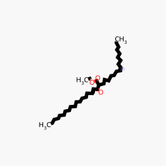 CCCCCCCC/C=C\CCCCCCC(C(=O)C=CCCCCCCCCCCCCCCC)C(=O)OCC